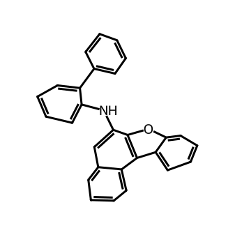 c1ccc(-c2ccccc2Nc2cc3ccccc3c3c2oc2ccccc23)cc1